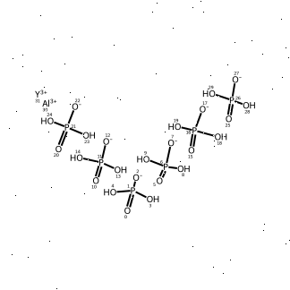 O=P([O-])(O)O.O=P([O-])(O)O.O=P([O-])(O)O.O=P([O-])(O)O.O=P([O-])(O)O.O=P([O-])(O)O.[Al+3].[Y+3]